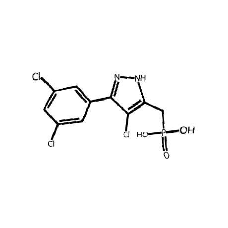 O=P(O)(O)Cc1[nH]nc(-c2cc(Cl)cc(Cl)c2)c1Cl